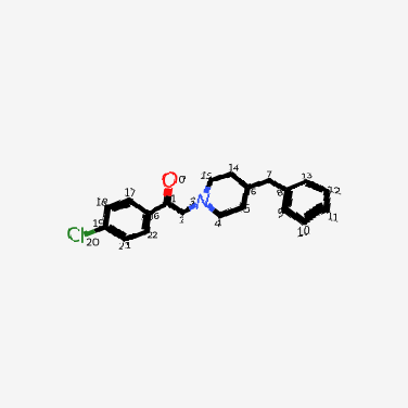 O=C(CN1CCC(Cc2ccccc2)CC1)c1ccc(Cl)cc1